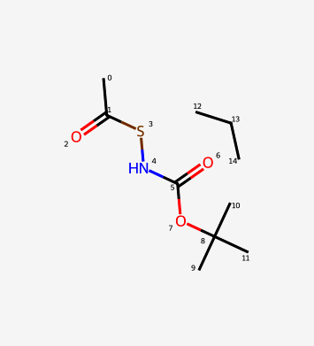 CC(=O)SNC(=O)OC(C)(C)C.CCC